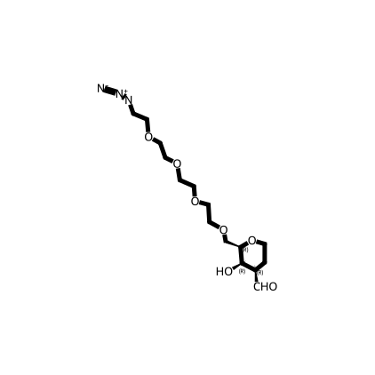 [N-]=[N+]=NCCOCCOCCOCCOC[C@H]1OCC[C@@H](C=O)[C@H]1O